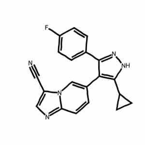 N#Cc1cnc2ccc(-c3c(-c4ccc(F)cc4)n[nH]c3C3CC3)cn12